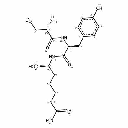 N=C(N)NCCC[C@H](NC(=O)[C@H](Cc1ccc(O)cc1)NC(=O)[C@@H](N)CO)C(=O)O